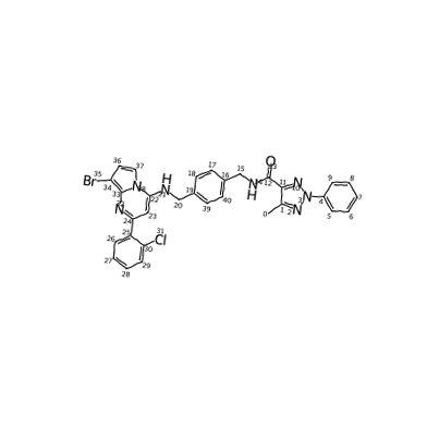 Cc1nn(-c2ccccc2)nc1C(=O)NCc1ccc(CNc2cc(-c3ccccc3Cl)nc3c(Br)ccn23)cc1